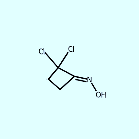 ON=C1C[CH]C1(Cl)Cl